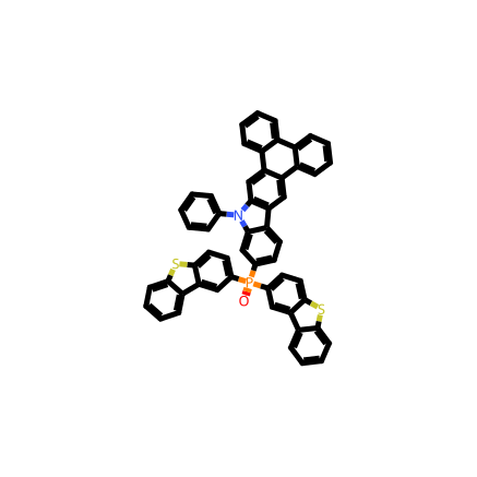 O=P(c1ccc2sc3ccccc3c2c1)(c1ccc2sc3ccccc3c2c1)c1ccc2c3cc4c5ccccc5c5ccccc5c4cc3n(-c3ccccc3)c2c1